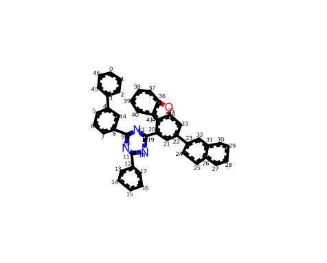 c1ccc(-c2cccc(-c3nc(-c4ccccc4)nc(-c4cc(-c5ccc6ccccc6c5)cc5oc6ccccc6c45)n3)c2)cc1